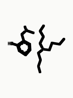 CCCCP(CCCC)CCCC.CN(C)Cc1ccccc1O